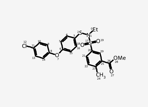 CCN(Sc1ccc(Oc2ccc(Cl)cc2)cc1)S(=O)(=O)c1ccc(C)c(C(=O)OC)c1